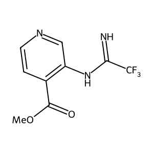 COC(=O)c1ccncc1NC(=N)C(F)(F)F